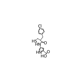 O=C(O)c1cc(NC(=O)C(CS)Cc2ccc(Cl)cc2)c[nH]1